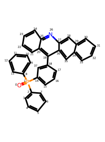 O=P(c1ccccc1)(c1ccccc1)c1cccc(-c2c3ccccc3nc3cc4ccccc4cc23)c1